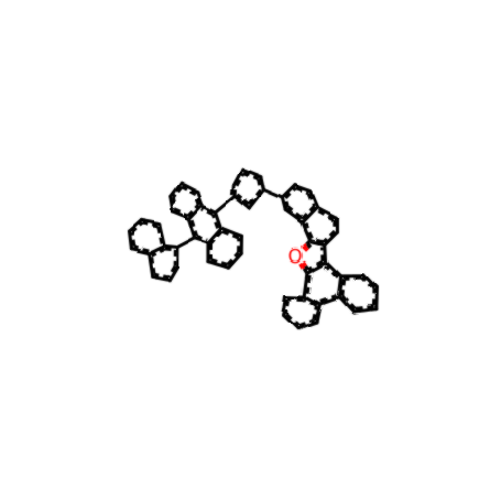 c1cc(-c2ccc3ccc4c(oc5c6ccccc6c6ccccc6c45)c3c2)cc(-c2c3ccccc3c(-c3cccc4ccccc34)c3ccccc23)c1